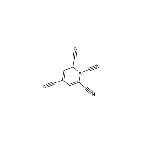 N#CC1=C[CH](C#N)[Al]([C]#N)[C](C#N)=C1